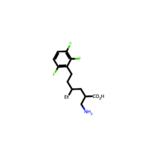 CCC(CCc1c(F)ccc(F)c1F)CC(CN)C(=O)O